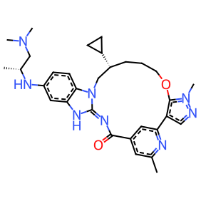 Cc1cc2cc(n1)-c1cnn(C)c1OCCC[C@@H](C1CC1)CN1/C(=N/C2=O)Nc2cc(N[C@H](C)CN(C)C)ccc21